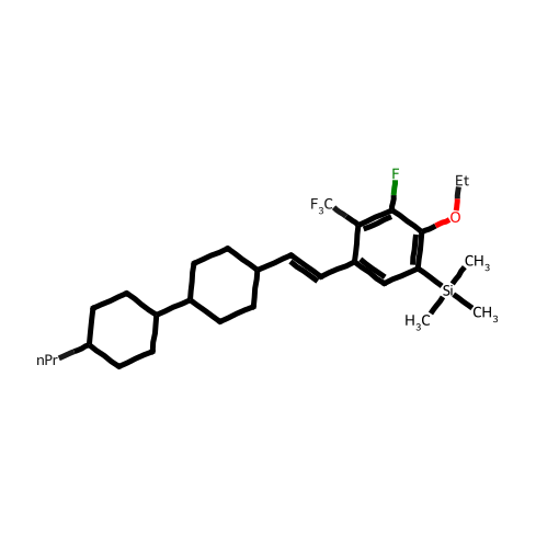 CCCC1CCC(C2CCC(C=Cc3cc([Si](C)(C)C)c(OCC)c(F)c3C(F)(F)F)CC2)CC1